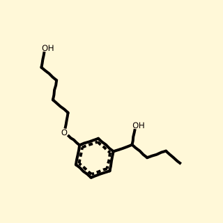 CCCC(O)c1cccc(OCCCCO)c1